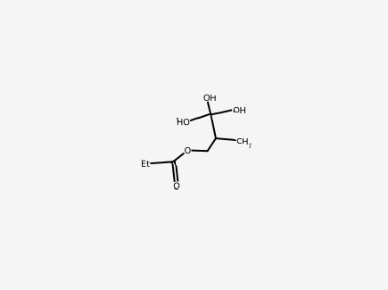 CCC(=O)OCC(C)C(O)(O)O